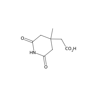 CC1(CC(=O)O)CC(=O)NC(=O)C1